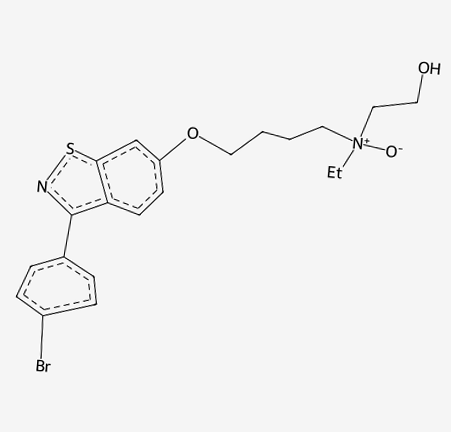 CC[N+]([O-])(CCO)CCCCOc1ccc2c(-c3ccc(Br)cc3)nsc2c1